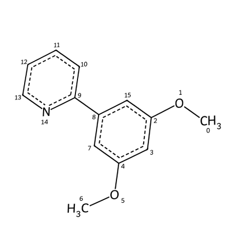 COc1cc(OC)cc(-c2ccccn2)c1